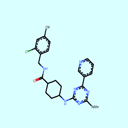 CNc1nc(NC2CCC(C(=O)NCc3ccc(C#N)cc3Cl)CC2)nc(-c2cccnc2)n1